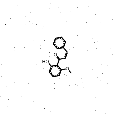 COc1cccc(O)c1C(=O)/C=C\c1ccccc1